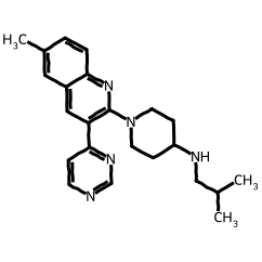 Cc1ccc2nc(N3CCC(NCC(C)C)CC3)c(-c3ccncn3)cc2c1